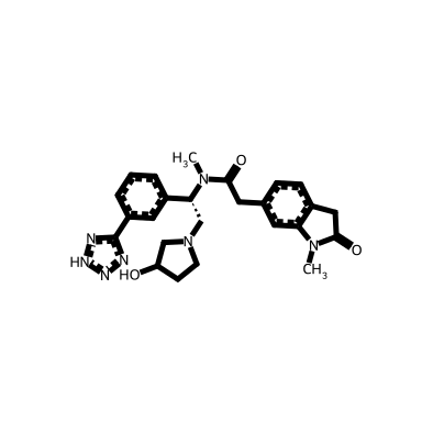 CN1C(=O)Cc2ccc(CC(=O)N(C)[C@H](CN3CCC(O)C3)c3cccc(-c4nn[nH]n4)c3)cc21